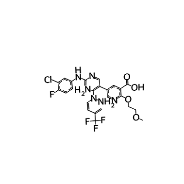 C=C(/N=C\C(=C(/N)N(N)/C=C\C(=C)C(F)(F)F)c1cnc(OCCOC)c(C(=O)O)c1)Nc1ccc(F)c(Cl)c1